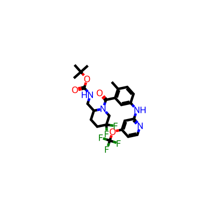 Cc1ccc(Nc2cc(OC(F)(F)F)ccn2)cc1C(=O)N1CC(F)(F)CCC1CNC(=O)OC(C)(C)C